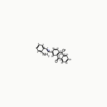 Nc1ccccc1/C=C/c1ccc2c(c1)C(=O)c1ccccc1C2=O